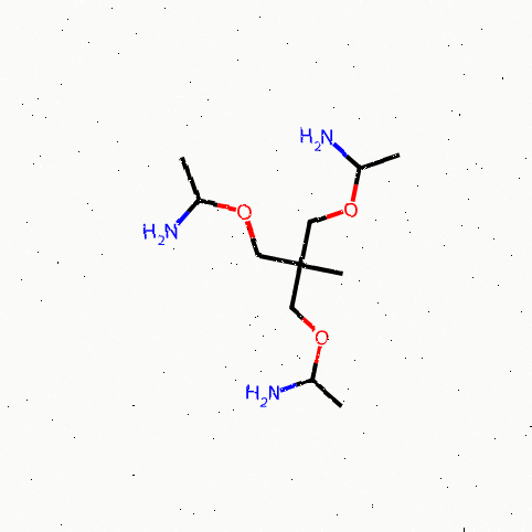 CC(N)OCC(C)(COC(C)N)COC(C)N